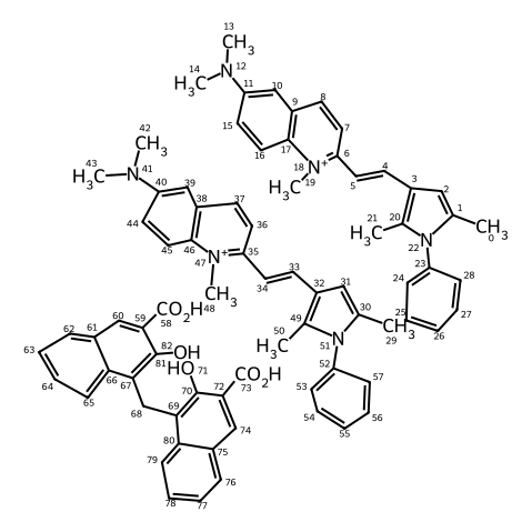 Cc1cc(/C=C/c2ccc3cc(N(C)C)ccc3[n+]2C)c(C)n1-c1ccccc1.Cc1cc(/C=C/c2ccc3cc(N(C)C)ccc3[n+]2C)c(C)n1-c1ccccc1.O=C(O)c1cc2ccccc2c(Cc2c(O)c(C(=O)O)cc3ccccc23)c1O